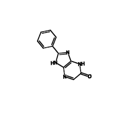 O=c1cnc2[nH]c(-c3ccccc3)nc2[nH]1